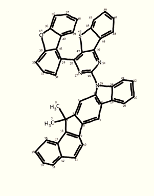 CC1(C)c2cc3c(cc2-c2ccc4ccccc4c21)c1ccccc1n3-c1nc(-c2cccc3oc4ccccc4c23)c2sc3ccccc3c2n1